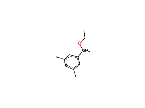 CCO[SiH](C)c1cc(C)cc(C)c1